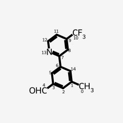 Cc1cc(C=O)cc(-c2cc(C(F)(F)F)ccn2)c1